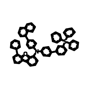 c1ccc(-c2cccc3c2oc2c(N(c4ccc(-c5cccc(S(c6ccccc6)(c6ccccc6)c6ccccc6)c5)cc4)c4ccc(-c5cccc6ccccc56)cc4)cccc23)cc1